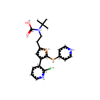 CC(C)(C)N(CCc1cc(-c2cccnc2F)c(Sc2ccncc2)s1)C(=O)O